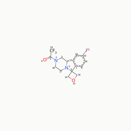 O=C(N1CCN(C2(c3ccc(I)cc3)COC2)CC1)C(F)(F)F